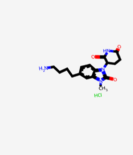 Cl.Cn1c(=O)n(C2CCC(=O)NC2=O)c2ccc(CCCCN)cc21